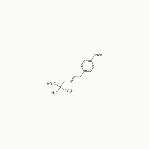 CCCCCCCCCc1ccc(C/C=C/CC(C)(C(=O)O)C(=O)O)cc1